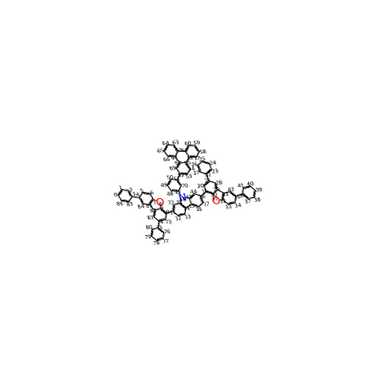 c1ccc(-c2ccc3oc4c(-c5ccc6c7ccc(-c8cc(-c9ccccc9)cc9c8oc8ccc(-c%10ccccc%10)cc89)cc7n(-c7cccc(-c8ccc9c%10ccccc%10c%10ccccc%10c9c8)c7)c6c5)cc(-c5ccccc5)cc4c3c2)cc1